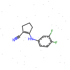 N#CC1=C(Nc2ccc(F)c(F)c2)CCC1